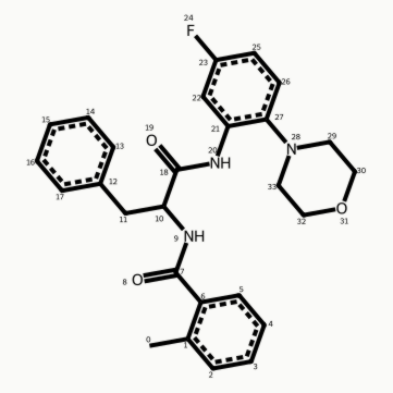 Cc1ccccc1C(=O)NC(Cc1ccccc1)C(=O)Nc1cc(F)ccc1N1CCOCC1